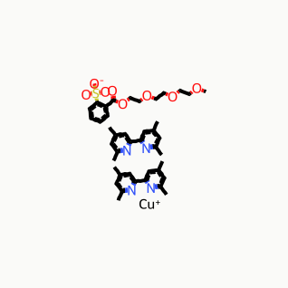 COCCOCCOCCOC(=O)c1ccccc1S(=O)(=O)[O-].Cc1cc(C)nc(-c2cc(C)cc(C)n2)c1.Cc1cc(C)nc(-c2cc(C)cc(C)n2)c1.[Cu+]